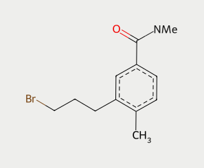 CNC(=O)c1ccc(C)c(CCCBr)c1